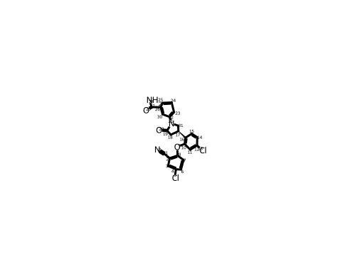 N#Cc1cc(Cl)ccc1Oc1cc(Cl)ccc1[C@H]1CC(=O)N(c2cccc(C(N)=O)c2)C1